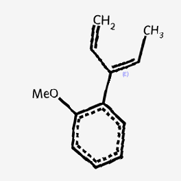 C=C/C(=C\C)c1ccccc1OC